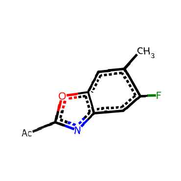 CC(=O)c1nc2cc(F)c(C)cc2o1